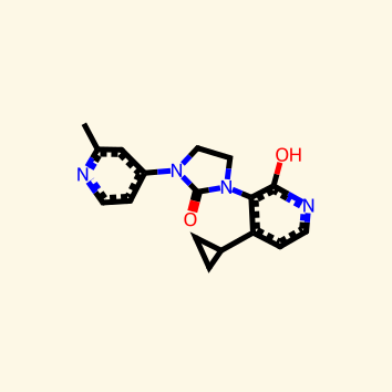 Cc1cc(N2CCN(c3c(C4CC4)ccnc3O)C2=O)ccn1